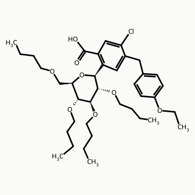 CCCCOC[C@H]1O[C@@H](c2cc(Cc3ccc(OCC)cc3)c(Cl)cc2C(=O)O)[C@H](OCCCC)[C@@H](OCCCC)[C@@H]1OCCCC